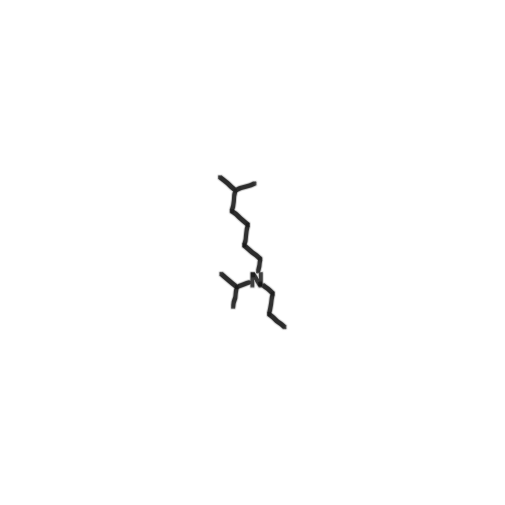 CCCN(CCCCC(C)C)C(C)C